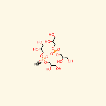 O=P([O-])(OCC(O)CO)OCC(O)CO.O=P([O-])(OCC(O)CO)OCC(O)CO.[Na+].[Na+]